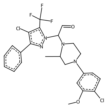 COc1cc(N2CCN(C(C=O)n3nc(-c4ccccc4)c(Cl)c3C(F)(F)F)C(C)C2)ccc1Cl